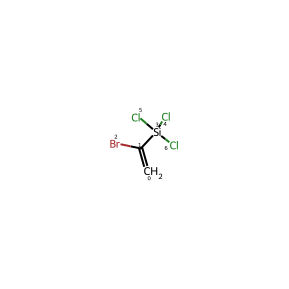 C=C(Br)[Si](Cl)(Cl)Cl